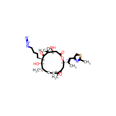 C/C(=C\c1csc(C)n1)[C@@H]1CC2O[C@]2(C)CCC[C@H](C)[C@H](O)[C@@H](CCCCN=[N+]=[N-])C(=O)C(C)(C)[C@@H](O)CC(=O)O1